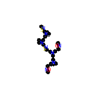 CC1(C)c2ccccc2N(c2ccc(-c3ccc(N(c4ccc(-c5cccc(-c6nc7ccccc7o6)c5)cc4)c4ccc(-c5ccc6sc(-c7ccc(N(c8ccc(-c9ccc(N%10c%11ccccc%11C(C)(C)c%11cc(-c%12nc%13ccccc%13s%12)ccc%11%10)cc9)cc8)c8cccc9ccccc89)cc7)nc6c5)cc4)cc3)cc2)c2ccc(-c3cccc(-c4nc5ccccc5o4)c3)cc21